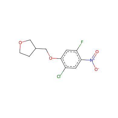 O=[N+]([O-])c1cc(Cl)c(OCC2CCOC2)cc1F